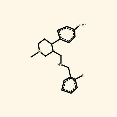 COc1ccc(C2CCN(C)CC2CNCc2ccccc2F)cc1